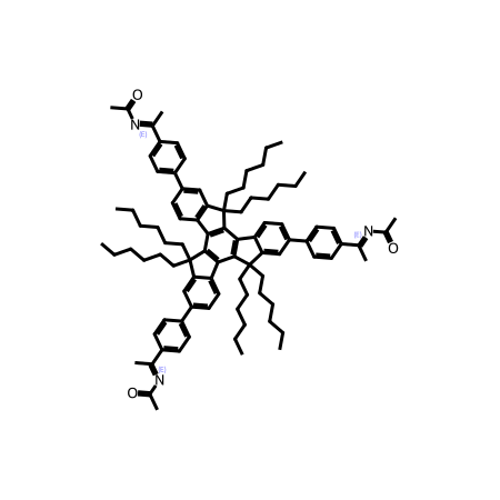 CCCCCCC1(CCCCCC)c2cc(-c3ccc(/C(C)=N/C(C)=O)cc3)ccc2-c2c1c1c(c3c2C(CCCCCC)(CCCCCC)c2cc(-c4ccc(/C(C)=N/C(C)=O)cc4)ccc2-3)C(CCCCCC)(CCCCCC)c2cc(-c3ccc(/C(C)=N/C(C)=O)cc3)ccc2-1